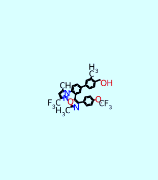 Cc1nc(-c2ccc(OC(F)(F)F)cc2)c(-c2cc(-c3ccc(CO)c(C)c3)ccc2-n2nc(C(F)(F)F)cc2C)o1